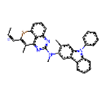 C/C=C\C1=C(C)c2nc(N(C)c3cc4c5ccccc5n(-c5ccccc5)c4cc3C)nc3cccc(c23)S1